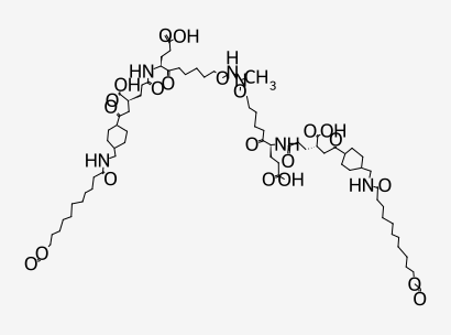 CN(NOCCCCCC(=O)[C@H](CCC(=O)O)NC(=O)CC[C@@H](CC(=O)C1CCC(CNC(=O)CCCCCCCCCCOC=O)CC1)C(=O)O)OCCCCCC(=O)[C@H](CCC(=O)O)NC(=O)CC[C@@H](CC(=O)C1CCC(CNC(=O)CCCCCCCCCCOC=O)CC1)C(=O)O